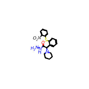 NNC(=O)C(c1ccccc1Sc1ccccc1[N+](=O)[O-])N1CCCCC1